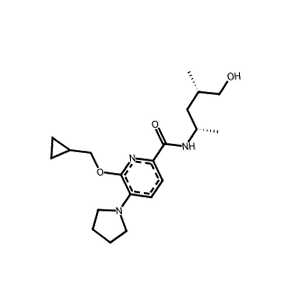 C[C@H](CO)C[C@H](C)NC(=O)c1ccc(N2CCCC2)c(OCC2CC2)n1